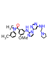 COc1cc(Nc2nccn2-c2cc(NCCN3CCCC3)ncn2)cc(C(=O)N(C)c2cccc(C)c2)c1